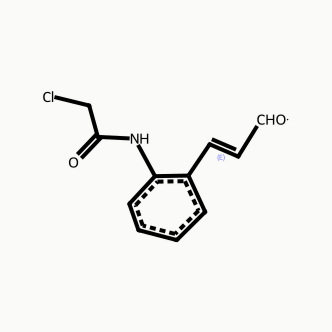 O=[C]/C=C/c1ccccc1NC(=O)CCl